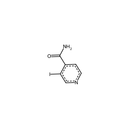 NC(=O)c1ccncc1I